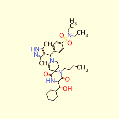 CCCCN1C(=O)[C@@H]([C@H](O)C2CCCCC2)NC(=O)C12CCN(C(c1ccc(S(=O)(=O)N(CC)CC)cc1)c1c(C)n[nH]c1C)CC2